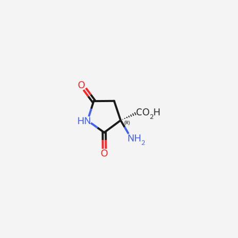 N[C@]1(C(=O)O)CC(=O)NC1=O